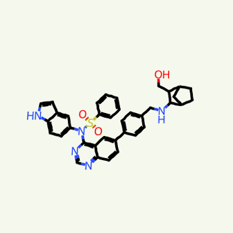 O=S(=O)(c1ccccc1)N(c1ccc2[nH]ccc2c1)c1ncnc2ccc(-c3ccc(CNC4C5CCC(C5)C4CO)cc3)cc12